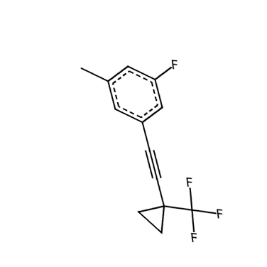 Cc1cc(F)cc(C#CC2(C(F)(F)F)CC2)c1